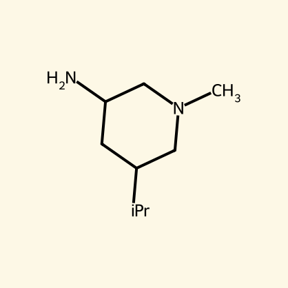 CC(C)C1CC(N)CN(C)C1